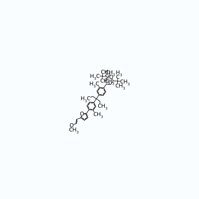 CCC(CC)(c1ccc(CCC(O[Si](C)(C)C(C)(C)C)C(C)(C)C)c(C)c1)c1ccc(-c2ccc(/C=C/OC)o2)c(C)c1